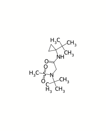 CC(C)(C)N(CC(=O)NC1(C(C)(C)C)CC1)S(C)(=O)=O